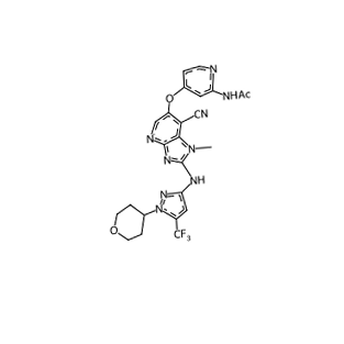 CC(=O)Nc1cc(Oc2cnc3nc(Nc4cc(C(F)(F)F)n(C5CCOCC5)n4)n(C)c3c2C#N)ccn1